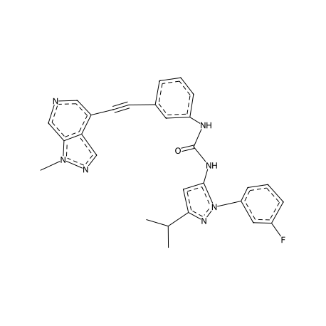 CC(C)c1cc(NC(=O)Nc2cccc(C#Cc3cncc4c3cnn4C)c2)n(-c2cccc(F)c2)n1